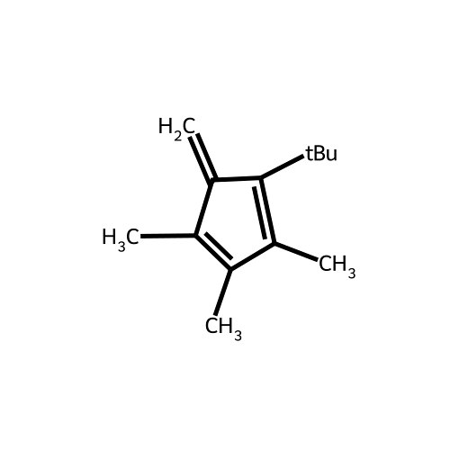 C=C1C(C)=C(C)C(C)=C1C(C)(C)C